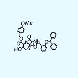 COc1ccc(COC(=O)C2=C(O)CS[C@@H]3C(NC(=O)Cc4ccccc4OC(c4ccccc4)c4ccccc4)C(=O)N23)cc1